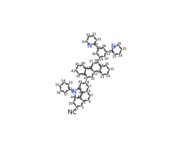 N#Cc1cc2ccc3cc(-c4cc5c6ccccc6c(-c6cc(-c7ccccn7)cc(-c7ccccn7)c6)cc5c5ccccc45)cc4c3c2c(c1)n4-c1ccccc1